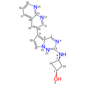 O[C@H]1C[C@@H](Nc2ncc3c(-c4cnc5ncccc5c4)ccn3n2)C1